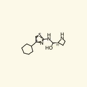 OC(Nc1nc(C2CCCCC2)cs1)[C@@H]1CCN1